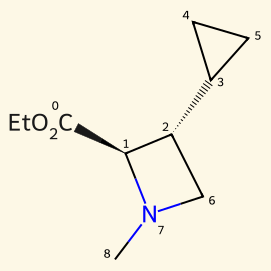 CCOC(=O)[C@H]1[C@H](C2CC2)CN1C